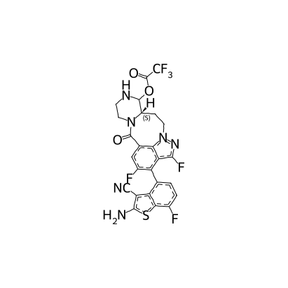 N#Cc1c(N)sc2c(F)ccc(-c3c(F)cc4c5c3c(F)nn5CC[C@H]3C(OC(=O)C(F)(F)F)NCCN3C4=O)c12